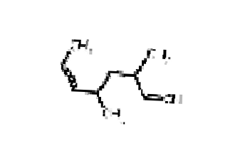 [CH]=CC(C)CC(C)/C=C\C